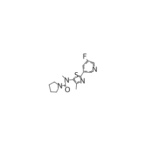 Cc1nc(-c2cncc(F)c2)sc1N(C)C(=O)N1CCCC1